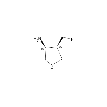 N[C@@H]1CNC[C@@H]1CF